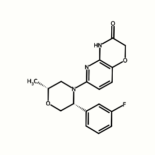 C[C@@H]1CN(c2ccc3c(n2)NC(=O)CO3)[C@H](c2cccc(F)c2)CO1